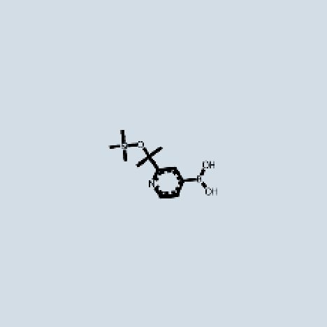 CC(C)(O[Si](C)(C)C)c1cc(B(O)O)ccn1